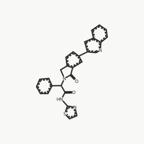 O=C(Nc1nccs1)C(c1ccccc1)N1Cc2ccc(-c3cnc4ccccc4c3)cc2C1=O